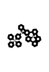 c1ccc(-c2ccccc2-n2c3ccccc3c3cccc(-c4ccc5c(c4)c4ccccc4n5-c4ccc([Si](c5ccccc5)(c5ccccc5)c5ccccc5)cc4)c32)cc1